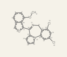 COc1cccc2coc(C3=NCc4c(Cl)cc(Cl)cc4-n4cccc43)c12